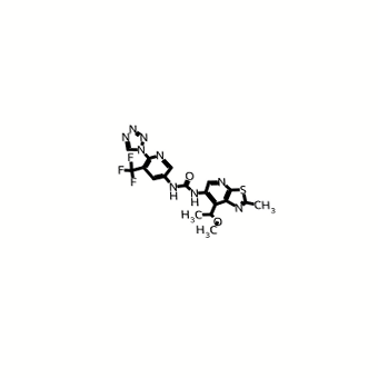 COC(C)c1c(NC(=O)Nc2cnc(-n3cnnn3)c(C(F)(F)F)c2)cnc2sc(C)nc12